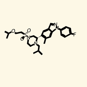 Cc1cc2c(cnn2-c2ccc(F)cc2)cc1[C@H]1CN(S(=O)(=O)CCOC(C)C)CCN1CC(C)C